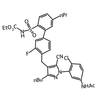 CCCCc1nn(-c2cc(NC(C)=O)ccc2Cl)c(C#N)c1Cc1ccc(-c2cc(CCC)ccc2S(=O)(=O)NC(=O)OCC)cc1F